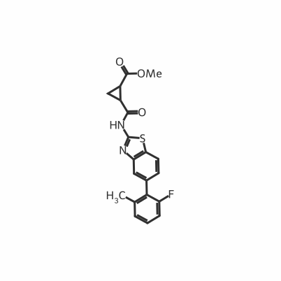 COC(=O)C1CC1C(=O)Nc1nc2cc(-c3c(C)cccc3F)ccc2s1